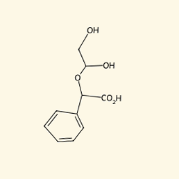 O=C(O)C(OC(O)CO)c1ccccc1